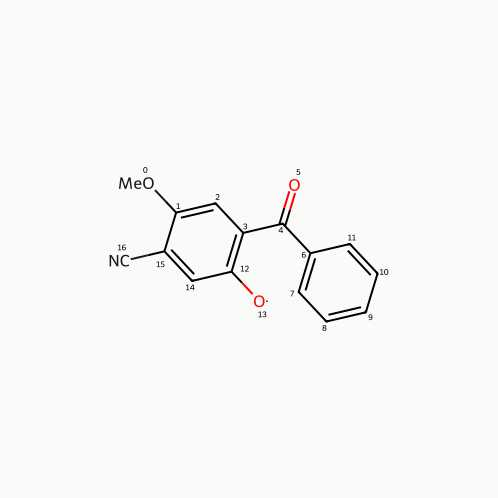 COc1cc(C(=O)c2ccccc2)c([O])cc1C#N